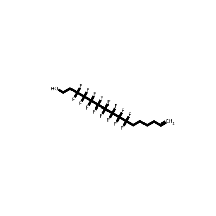 C=CCCCCC(F)(F)C(F)(F)C(F)(F)C(F)(F)C(F)(F)C(F)(F)C(F)(F)C(F)(F)CCO